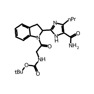 CCCc1nc(C2Cc3ccccc3N2C(=O)CNC(=O)OC(C)(C)C)[nH]c1C(N)=O